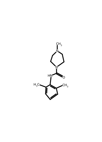 Cc1cccc(C)c1NC(=O)N1CCN(C)CC1